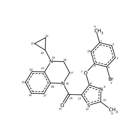 Cc1ccc(Br)c(Oc2nc(C)sc2C(=O)N2CCN(C3CC3)c3ccccc32)c1